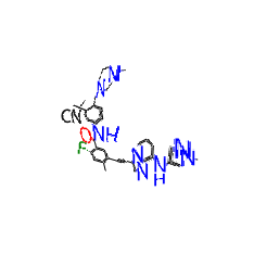 Cc1cc(F)c(C(=O)Nc2ccc(CN3CCCN(C)CC3)c(C(C)(C)C#N)c2)cc1C#Cc1cnc2c(Nc3cnn(C)c3)cccn12